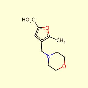 Cc1oc(C(=O)O)cc1CN1CCOCC1